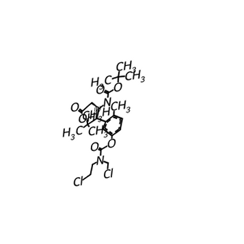 Cc1ccc(OC(=O)N(CCl)CCCl)cc1C([C@@H](CC(=O)O)NC(=O)OC(C)(C)C)C(C)(C)C